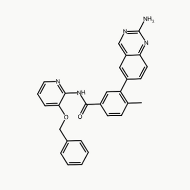 Cc1ccc(C(=O)Nc2ncccc2OCc2ccccc2)cc1-c1ccc2nc(N)ncc2c1